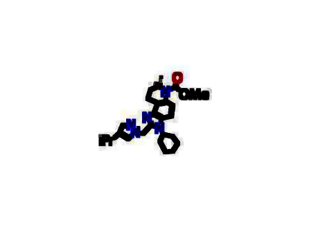 COC(=O)N1c2ccc3c(nc(Cn4cc(C(C)C)cn4)n3C3CCCCC3)c2CC[C@@H]1C